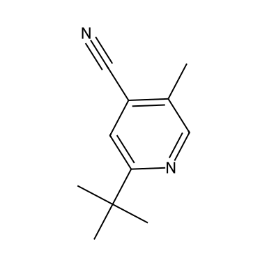 Cc1cnc(C(C)(C)C)cc1C#N